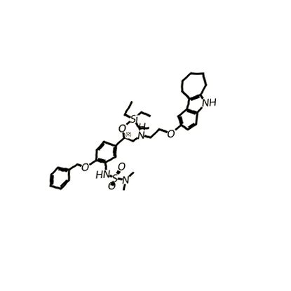 CC[Si](CC)(CC)O[C@@H](CNCCOc1ccc2[nH]c3c(c2c1)CCCCC3)c1ccc(OCc2ccccc2)c(NS(=O)(=O)N(C)C)c1